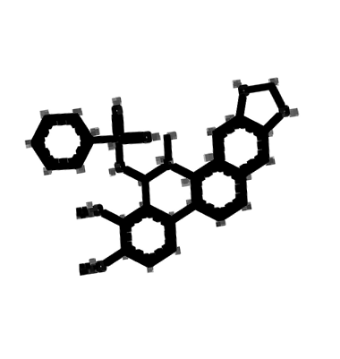 COc1ccc2c(c1OC)C(OS(=O)(=O)c1ccccc1)N(C)c1c-2ccc2cc3c(cc12)OCO3